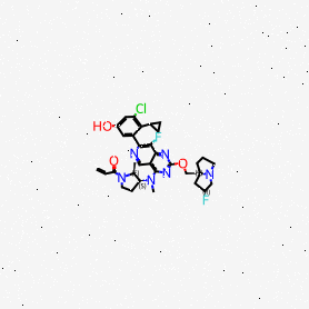 C=CC(=O)N1CC[C@H](N(C)c2nc(OC[C@@]34CCCN3C[C@H](F)C4)nc3c(F)c(-c4cc(O)cc(Cl)c4C4CC4)ncc23)[C@@H]1C